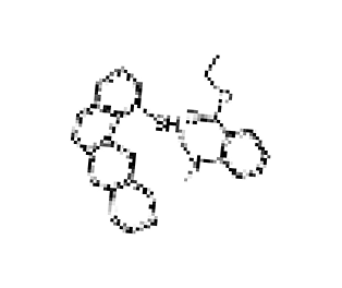 Bc1cccc2ccc3cc4ccccc4cc3c12.CCOC(=O)c1ccccc1N(C)C